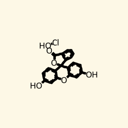 O=C1OC2(c3ccc(O)cc3Oc3cc(O)ccc32)c2ccccc21.OCl